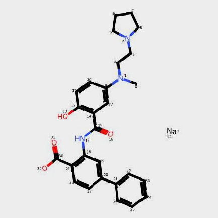 CN(CCN1CCCC1)c1ccc(O)c(C(=O)Nc2cc(-c3ccccc3)ccc2C(=O)[O-])c1.[Na+]